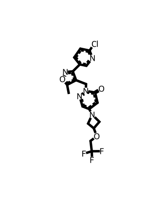 Cc1onc(-c2ccc(Cl)nc2)c1Cn1ncc(N2CC(OCC(F)(F)F)C2)cc1=O